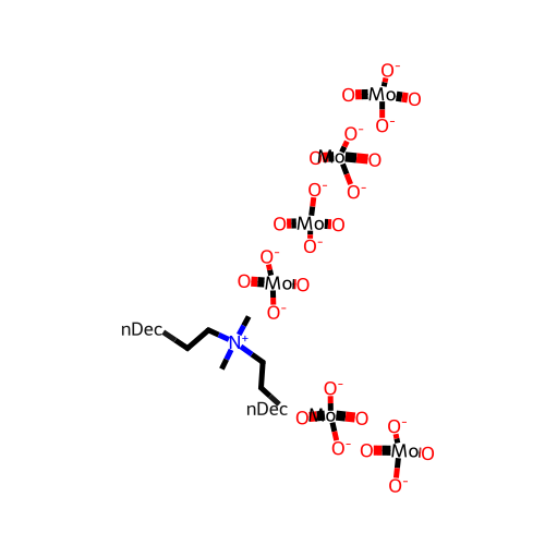 CCCCCCCCCCCC[N+](C)(C)CCCCCCCCCCCC.[O]=[Mo](=[O])([O-])[O-].[O]=[Mo](=[O])([O-])[O-].[O]=[Mo](=[O])([O-])[O-].[O]=[Mo](=[O])([O-])[O-].[O]=[Mo](=[O])([O-])[O-].[O]=[Mo](=[O])([O-])[O-]